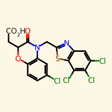 O=C(O)CC1Oc2ccc(Cl)cc2N(Cc2nc3cc(Cl)c(Cl)c(Cl)c3s2)C1=O